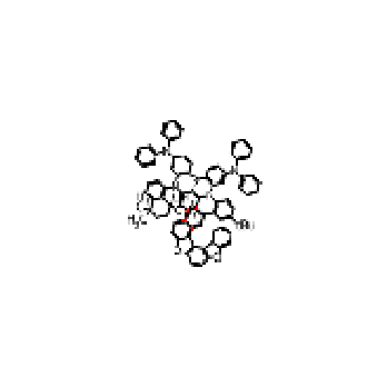 CC(C)(C)c1ccc(N2c3cc(N(c4ccccc4)c4ccccc4)ccc3B3c4ccc(N(c5ccccc5)c5ccccc5)cc4N(c4cccc5c4C(C)(C)CCC5(C)C)c4cc(-c5ccc6oc7ccc8oc9ccccc9c8c7c6c5)cc2c43)c(-c2ccccc2)c1